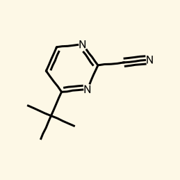 CC(C)(C)c1ccnc(C#N)n1